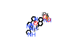 Cc1ccc2c(NS(=O)(=O)CC(C)C)cccc2c1Oc1ncccc1-c1ccnc(NC2CCCNC2)n1